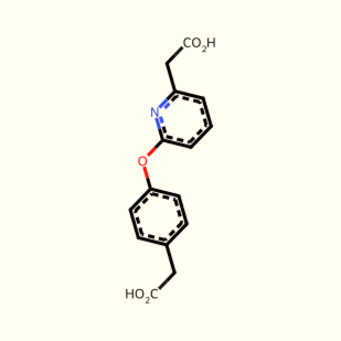 O=C(O)Cc1ccc(Oc2cccc(CC(=O)O)n2)cc1